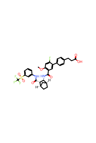 COc1cc(F)c(-c2ccc(CCC(=O)O)cc2)cc1C(=O)N[C@@H]1[C@H]2CC[C@H](C2)[C@@H]1C(=O)Nc1cccc(S(=O)(=O)C(F)(F)F)c1